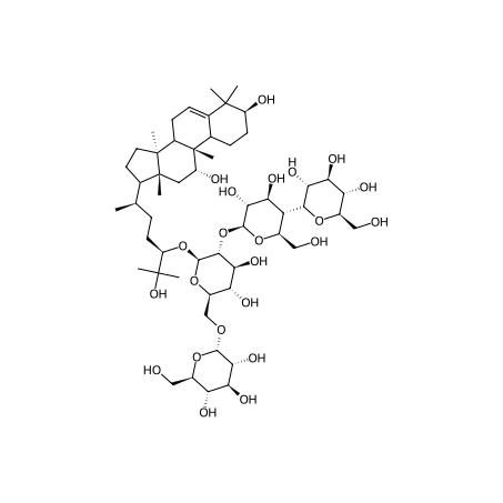 C[C@H](CC[C@@H](O[C@@H]1O[C@H](CO[C@H]2O[C@H](CO)[C@@H](O)[C@H](O)[C@H]2O)[C@@H](O)[C@H](O)[C@H]1O[C@@H]1O[C@H](CO)[C@@H](C2O[C@H](CO)[C@@H](O)[C@H](O)[C@H]2O)[C@H](O)[C@H]1O)C(C)(C)O)C1CC[C@@]2(C)C3CC=C4C(CC[C@H](O)C4(C)C)[C@]3(C)[C@H](O)C[C@]12C